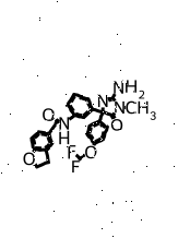 CN1C(=O)C(c2ccc(OC(F)F)cc2)(c2cccc(NC(=O)c3ccc4c(c3)CCO4)c2)N=C1N